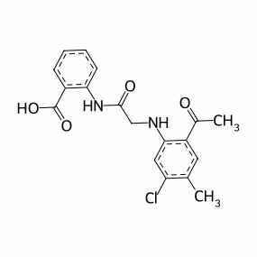 CC(=O)c1cc(C)c(Cl)cc1NCC(=O)Nc1ccccc1C(=O)O